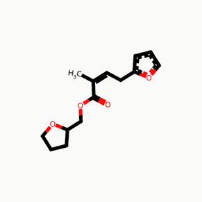 CC(=CCc1ccco1)C(=O)OCC1CCCO1